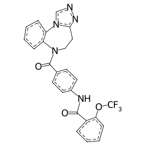 O=C(Nc1ccc(C(=O)N2CCc3nncn3-c3ccccc32)cc1)c1ccccc1OC(F)(F)F